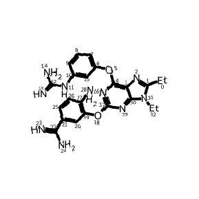 CCc1nc2c(Oc3cccc(NC(=N)N)c3)nc(Oc3cc(C(=N)N)ccc3N)nc2n1CC